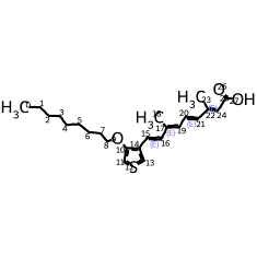 CCCCCCCCCOc1cscc1/C=C/C(C)=C/C=C/C(C)=C/C(=O)O